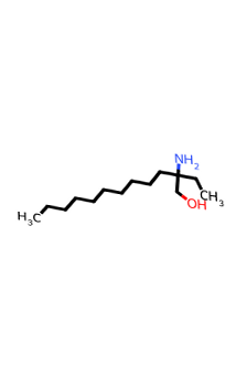 CCCCCCCCCCC(N)(CC)CO